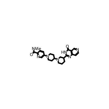 CNC(=O)c1ccc(N2CCC(N3CCCC(c4nc5ccncc5c(=O)[nH]4)C3)CC2)cn1